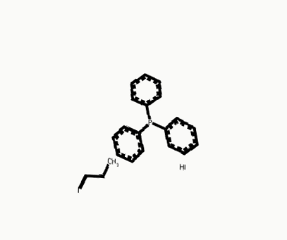 CCCI.I.c1ccc(P(c2ccccc2)c2ccccc2)cc1